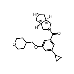 O=C(c1cc(OCC2CCOCC2)cc(C2CC2)c1)N1C[C@@H]2CNC[C@H]2C1